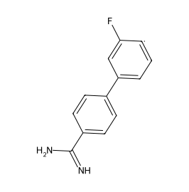 N=C(N)c1ccc(-c2cc[c]c(F)c2)cc1